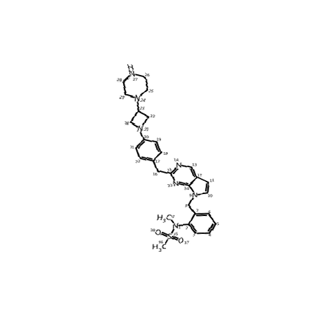 CN(c1ccccc1Cn1ccc2cnc(Cc3ccc(N4CC(N5CCNCC5)C4)cc3)nc21)S(C)(=O)=O